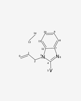 C=CCn1[c]([V])nc2ccccc21.CC